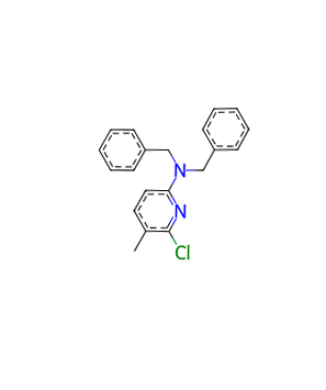 Cc1ccc(N(Cc2ccccc2)Cc2ccccc2)nc1Cl